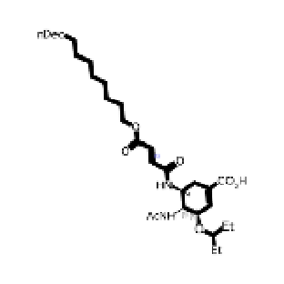 CCCCCCCCCCCCCCCCCCOC(=O)/C=C/C(=O)N[C@H]1CC(C(=O)O)=C[C@@H](OC(CC)CC)[C@@H]1NC(C)=O